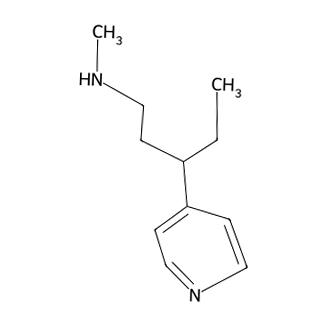 CCC(CCNC)c1ccncc1